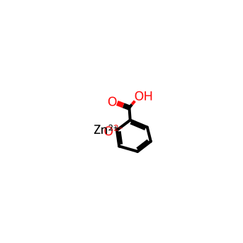 O=C(O)c1ccccc1.[O-2].[Zn+2]